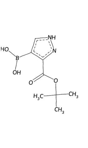 CC(C)(C)OC(=O)c1n[nH]cc1B(O)O